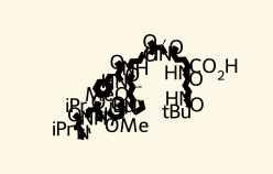 CC[C@H](C)[C@@H]([C@@H](CC(=O)N1CCC[C@H]1[C@H](OC)[C@@H](C)C(=O)N[C@@H](Cc1ccccc1)C(=O)NCCCOC(=O)[C@H](C)NC(=O)CC[C@H](NC(=O)CCNC(=O)C(C)(C)C)C(=O)O)OC)N(C)C(=O)C(NC(=O)C(C(C)C)N(C)C)C(C)C